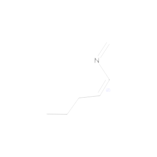 C=N/C=C\CCC